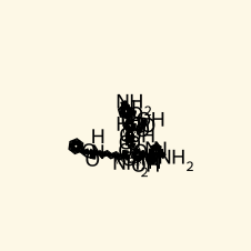 Nc1ccn([C@H]2C[C@H](OP(=O)(O)OC[C@@H]3O[C@@H](n4cnc5c(N)ncnc54)[C@H](O)[C@@H]3OC(=O)[C@H](N)CCCCNC(=O)OCc3ccccc3)[C@@H](COP(=O)(O)O)O2)c(=O)n1